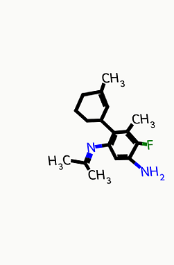 CC1=CC(c2c(N=C(C)C)cc(N)c(F)c2C)CCC1